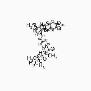 C[C@@H](NC(=O)OC(C)(C)C)C(=O)N1CCC(CCn2cnc(N)c3nc(Sc4cc5c(cc4Br)OCO5)nc2-3)CC1